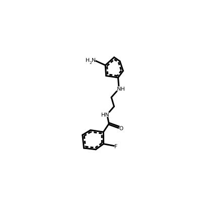 Nc1cccc(NCCNC(=O)c2ccccc2F)c1